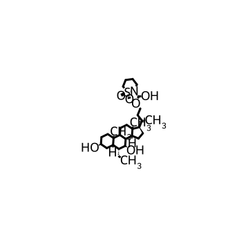 CC[C@H]1[C@@H](O)C2C(CCC3(C)[C@@H]([C@H](C)CCOC(O)N4CCCCS4(=O)=O)CC[C@@H]23)[C@@]2(C)CC[C@@H](O)C[C@@H]12